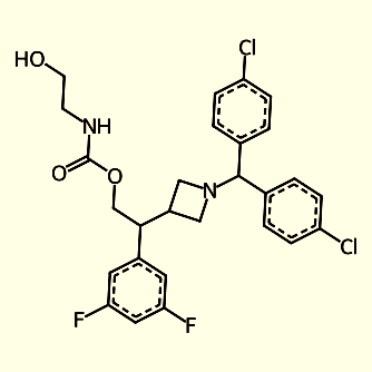 O=C(NCCO)OCC(c1cc(F)cc(F)c1)C1CN(C(c2ccc(Cl)cc2)c2ccc(Cl)cc2)C1